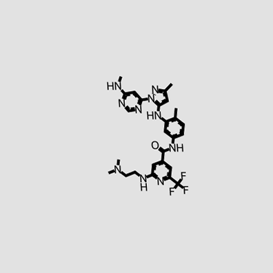 CNc1cc(-n2nc(C)cc2Nc2cc(NC(=O)c3cc(NCCN(C)C)nc(C(F)(F)F)c3)ccc2C)ncn1